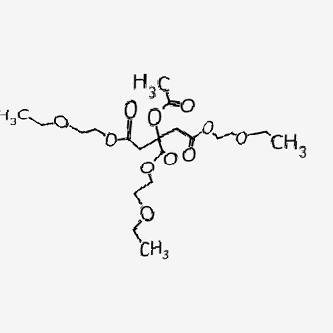 CCOCCOC(=O)CC(CC(=O)OCCOCC)(OC(C)=O)C(=O)OCCOCC